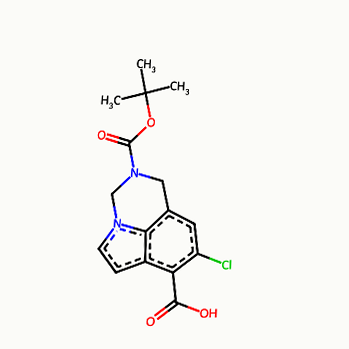 CC(C)(C)OC(=O)N1Cc2cc(Cl)c(C(=O)O)c3ccn(c23)C1